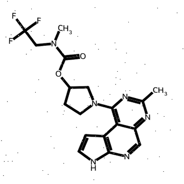 Cc1nc(N2CCC(OC(=O)N(C)CC(F)(F)F)C2)c2c(cnc3[nH]ccc32)n1